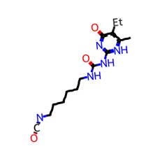 [CH2]Cc1c(C)[nH]c(NC(=O)NCCCCCCN=C=O)nc1=O